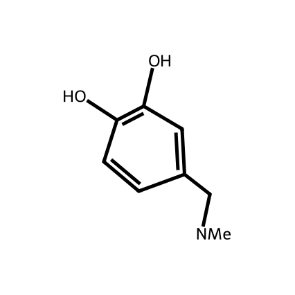 CNCc1ccc(O)c(O)c1